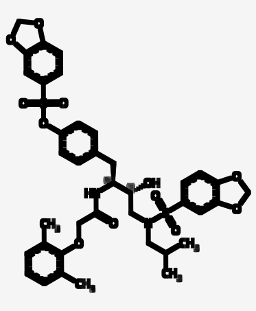 Cc1cccc(C)c1OCC(=O)N[C@@H](Cc1ccc(OS(=O)(=O)c2ccc3c(c2)OCO3)cc1)[C@H](O)CN(CC(C)C)S(=O)(=O)c1ccc2c(c1)OCO2